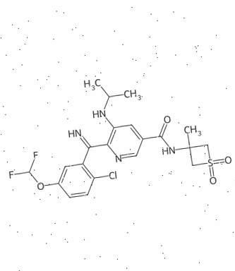 CC(C)Nc1cc(C(=O)NC2(C)CS(=O)(=O)C2)cnc1C(=N)c1cc(OC(F)F)ccc1Cl